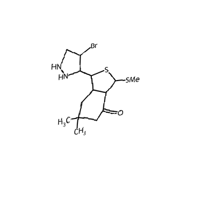 CSC1SC(C2NNCC2Br)C2CC(C)(C)CC(=O)C12